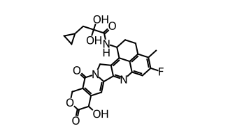 Cc1c(F)cc2nc3c(c4c2c1CCC4NC(=O)C(O)(O)CC1CC1)Cn1c-3cc2c(c1=O)COC(=O)C2O